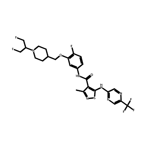 Cc1nsc(Nc2cnc(C(F)(F)F)cn2)c1C(=O)Nc1ccc(F)c(OCC2CCN(C(CF)CF)CC2)c1